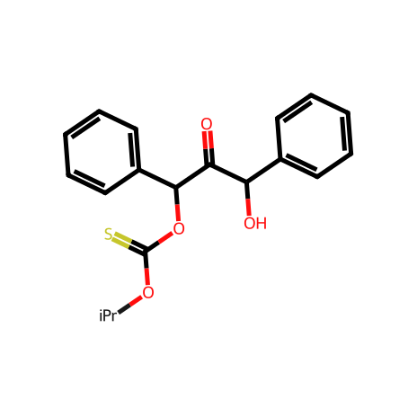 CC(C)OC(=S)OC(C(=O)C(O)c1ccccc1)c1ccccc1